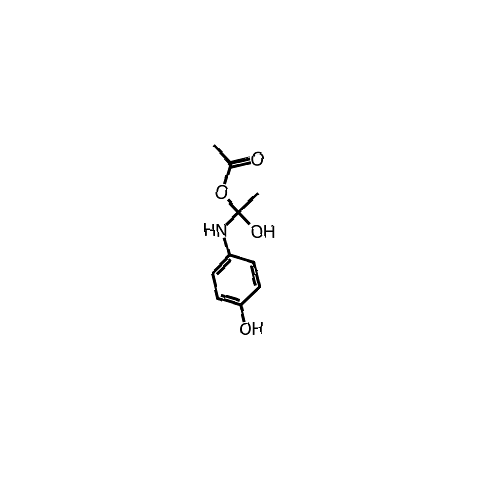 CC(=O)OC(C)(O)Nc1ccc(O)cc1